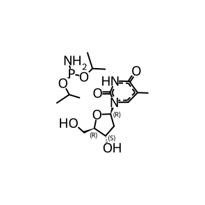 CC(C)OP(N)OC(C)C.Cc1cn([C@H]2C[C@H](O)[C@@H](CO)O2)c(=O)[nH]c1=O